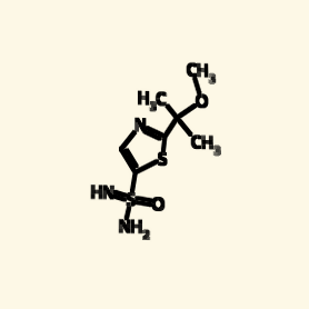 COC(C)(C)c1ncc(S(=N)(N)=O)s1